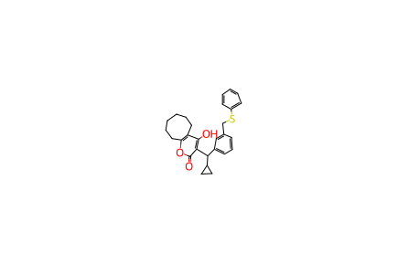 O=c1oc2c(c(O)c1C(c1cccc(CSc3ccccc3)c1)C1CC1)CCCCCC2